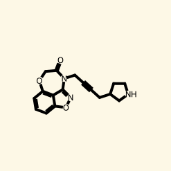 O=C1COc2cccc3onc(c23)N1CC#CCC1CCNC1